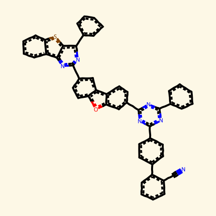 N#Cc1ccccc1-c1ccc(-c2nc(-c3ccccc3)nc(-c3ccc4c(c3)oc3ccc(-c5nc(-c6ccccc6)c6sc7ccccc7c6n5)cc34)n2)cc1